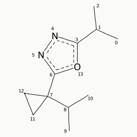 CC(C)c1nnc(C2(C(C)C)CC2)o1